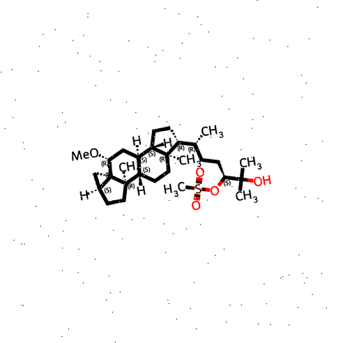 CO[C@@H]1C[C@H]2[C@@H]3CC[C@H]([C@H](C)CC[C@H](OS(C)(=O)=O)C(C)(C)O)[C@@]3(C)CC[C@@H]2[C@@]2(C)CC[C@H]3C[C@]312